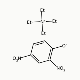 CC[N+](CC)(CC)CC.O=[N+]([O-])c1ccc([O-])c([N+](=O)[O-])c1